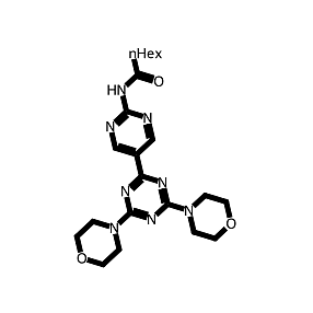 CCCCCCC(=O)Nc1ncc(-c2nc(N3CCOCC3)nc(N3CCOCC3)n2)cn1